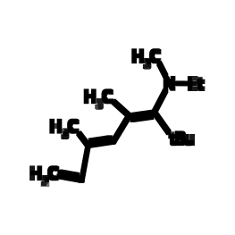 C=C/C(C)=C/C(C)=C(/N(C)CC)C(C)(C)C